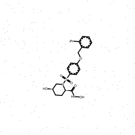 CC(C)c1ccccc1COc1ccc(S(=O)(=O)N2C[C@H](O)CC[C@@H]2C(=O)NO)cc1